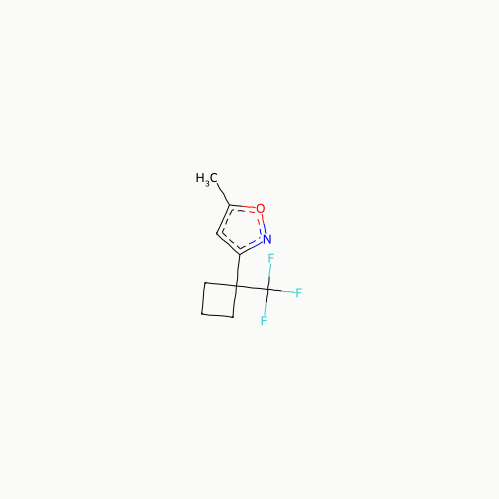 Cc1cc(C2(C(F)(F)F)CCC2)no1